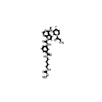 C[C@@H]1CCN(C(=O)CC#N)C[C@@H]1N(C)c1ncnc2c1ccn2C(=O)Nc1cccc(C(=O)NCCCCNC(=O)OC(C)(C)C)c1